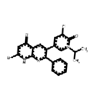 CC(C)n1cc(-c2cc3c(=O)cc(Br)[nH]c3nc2-c2ccccc2)cc(Cl)c1=O